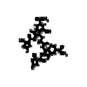 CCn1nc(C)cc1C(=O)/N=C1/C(C/C(C)=C(\C)Cn2/c(=N/C(=O)c3cc(C)nn3CC)n(C)c3cc(C(N)=O)ccc32)c2c(O)cc(C(N)=O)cc2N1C